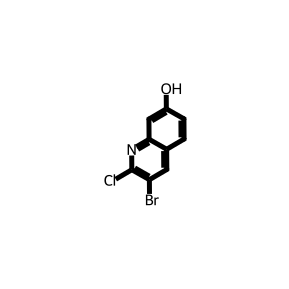 Oc1ccc2cc(Br)c(Cl)nc2c1